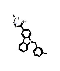 CN/N=N\C(=N)c1ccc2c(c1)c1ccccc1n2Cc1cccc(C)c1